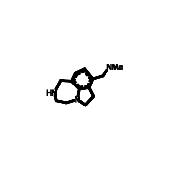 CNCc1ccc2c3c1CCN3CCNC2